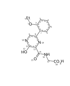 CCOc1ccccc1-c1cnc(O)c(C(=O)NCC(=O)O)n1